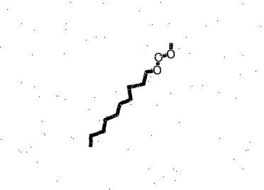 CCCCCCCCCCOOOC